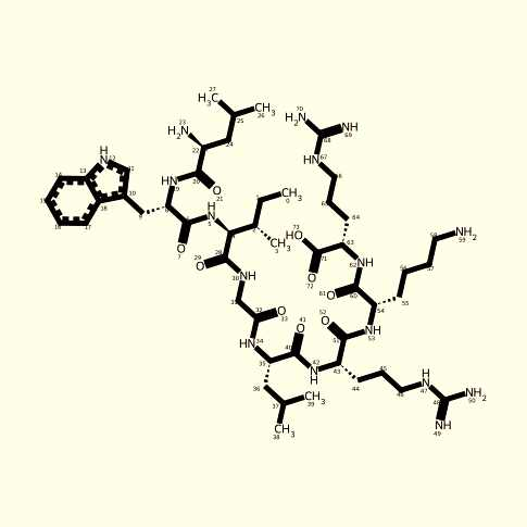 CC[C@H](C)[C@H](NC(=O)[C@H](Cc1c[nH]c2ccccc12)NC(=O)[C@@H](N)CC(C)C)C(=O)NCC(=O)N[C@@H](CC(C)C)C(=O)N[C@@H](CCCNC(=N)N)C(=O)N[C@@H](CCCCN)C(=O)N[C@@H](CCCNC(=N)N)C(=O)O